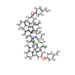 C=Cc1ccc(Oc2ccc(C3(c4cc(F)ccc4F)c4ccccc4-c4ccc(N(c5ccccc5)c5ccc6c(c5)C(c5ccc(Oc7ccc(C=C)cc7)cc5)(c5cc(F)ccc5F)c5ccccc5-6)cc43)cc2)cc1